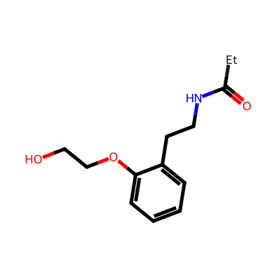 CCC(=O)NCCc1ccccc1OCCO